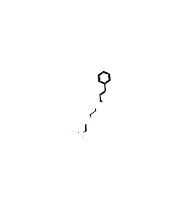 Cl.NCCOCCOC(=O)/C=C/c1ccccc1